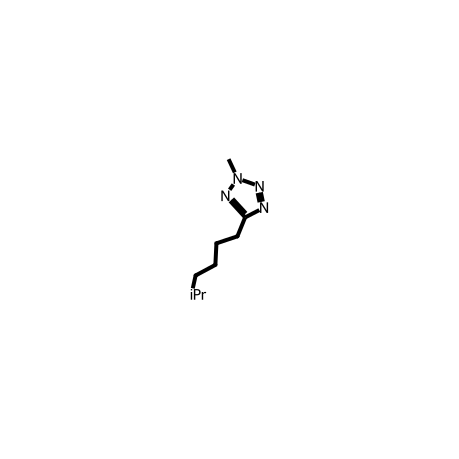 CC(C)CCCCc1nnn(C)n1